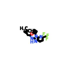 CC1(C)CC1CC(=O)Nc1nc2ccc(C(F)(F)F)nc2n1C1=CC=C1